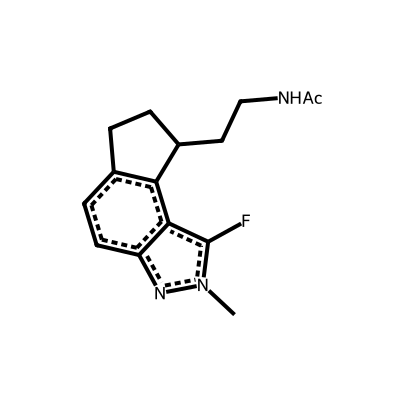 CC(=O)NCCC1CCc2ccc3nn(C)c(F)c3c21